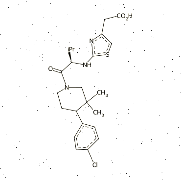 CC(C)[C@@H](Nc1nc(CC(=O)O)cs1)C(=O)N1CCC(c2ccc(Cl)cc2)C(C)(C)C1